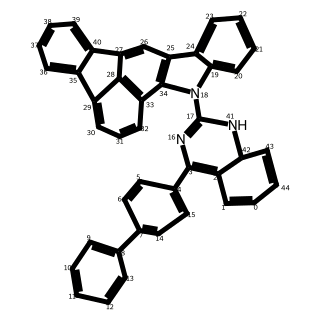 C1=CC2=C(c3ccc(-c4ccccc4)cc3)N=C(n3c4ccccc4c4cc5c6c(cccc6c43)-c3ccccc3-5)NC2C=C1